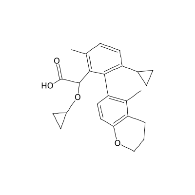 Cc1ccc(C2CC2)c(-c2ccc3c(c2C)CCCO3)c1C(OC1CC1)C(=O)O